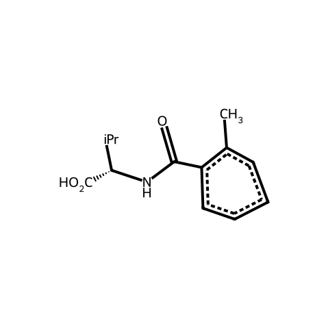 Cc1ccccc1C(=O)N[C@H](C(=O)O)C(C)C